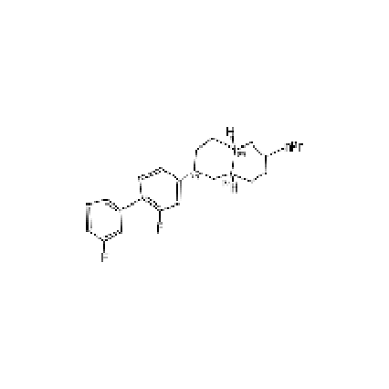 CCCC1CC[C@@H]2C[C@H](c3ccc(-c4cccc(F)c4)c(F)c3)CC[C@@H]2C1